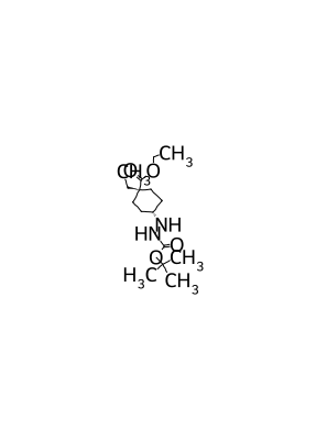 CCOC(=O)[C@]1(CC)CC[C@H](NNC(=O)OC(C)(C)C)CC1